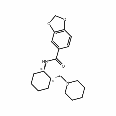 O=C(N[C@@H]1CCCC[C@H]1CN1CCCCC1)c1ccc2c(c1)OCO2